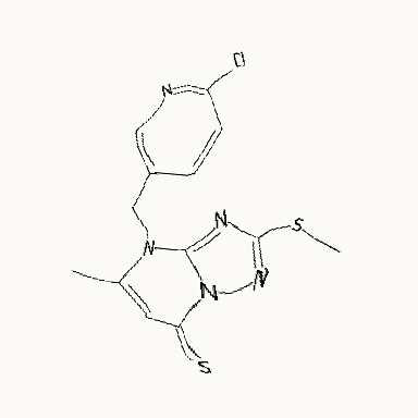 CSc1nc2n(Cc3ccc(Cl)nc3)c(C)cc(=S)n2n1